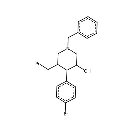 CC(C)CC1CN(Cc2ccccc2)CC(O)C1c1ccc(Br)cc1